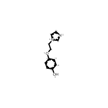 Oc1ccc(OCCn2ccnc2)cc1